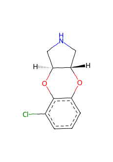 Clc1cccc2c1O[C@H]1CNC[C@@H]1O2